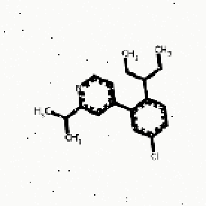 CCC(CC)c1ccc(Cl)cc1-c1ccnc(C(C)C)c1